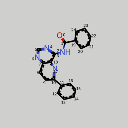 O=C(Nc1ncnc2ccc(-c3ccccc3)nc12)c1ccccc1